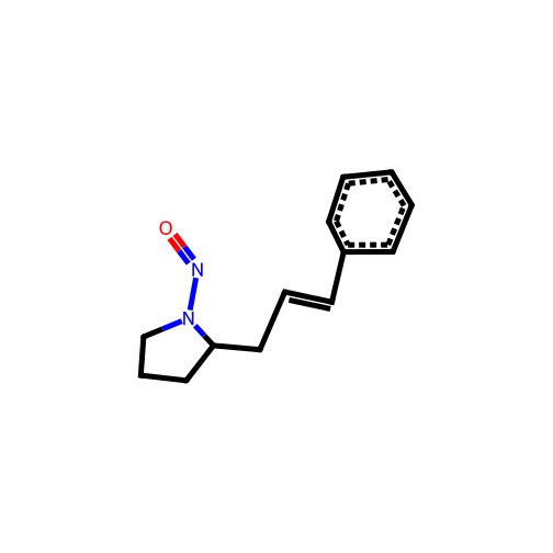 O=NN1CCCC1CC=Cc1ccccc1